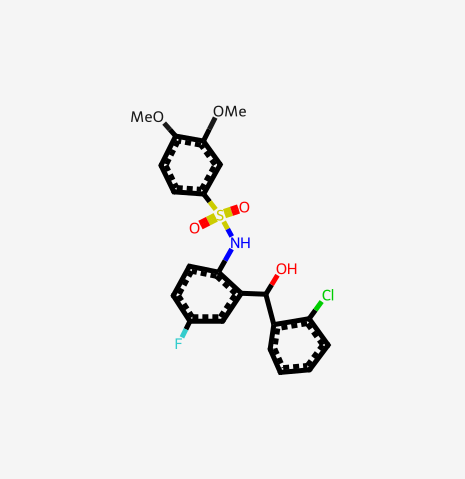 COc1ccc(S(=O)(=O)Nc2ccc(F)cc2C(O)c2ccccc2Cl)cc1OC